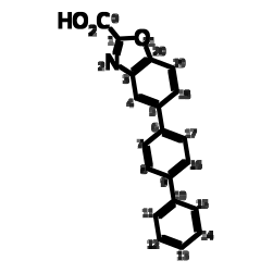 O=C(O)c1nc2cc(-c3ccc(-c4ccccc4)cc3)ccc2o1